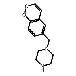 C1=Cc2cc(CN3CCNCC3)ccc2OO1